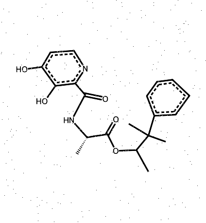 CC(OC(=O)[C@H](C)NC(=O)c1nccc(O)c1O)C(C)(C)c1ccccc1